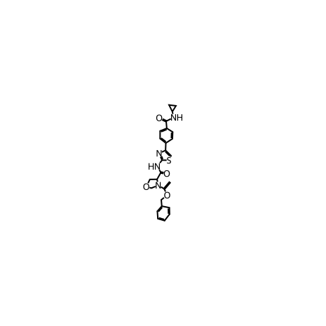 C=C(OCc1ccccc1)N1COCC1C(=O)Nc1nc(-c2ccc(C(=O)NC3CC3)cc2)cs1